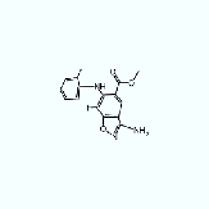 COC(=O)c1cc2c(N)noc2c(F)c1Nc1ccccc1C